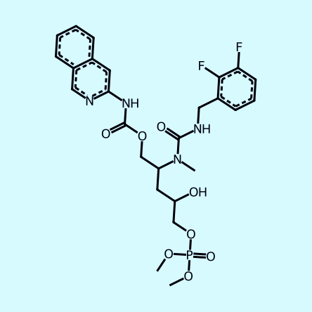 COP(=O)(OC)OCC(O)CC(COC(=O)Nc1cc2ccccc2cn1)N(C)C(=O)NCc1cccc(F)c1F